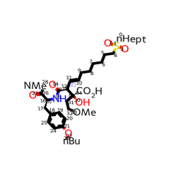 CCCCCCCS(=O)(=O)CCCCCC/C=C/[C@H](C(=O)N[C@@H](Cc1ccc(OCCCC)cc1)C(=O)NC)[C@@](O)(CCOC)C(=O)O